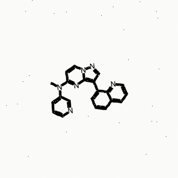 CN(c1cccnc1)c1ccn2ncc(-c3cccc4cccnc34)c2n1